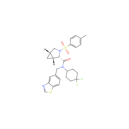 Cc1ccc(S(=O)(=O)N2C[C@H]3C[C@H]3[C@H]2C(=O)N(Cc2ccc3scnc3c2)C2CCC(F)(F)CC2)cc1